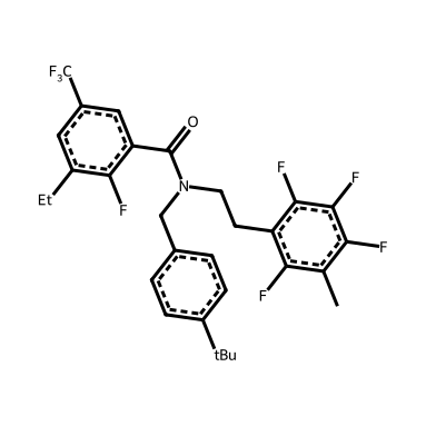 CCc1cc(C(F)(F)F)cc(C(=O)N(CCc2c(F)c(C)c(F)c(F)c2F)Cc2ccc(C(C)(C)C)cc2)c1F